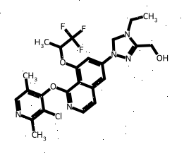 CCN1CN(c2cc(OC(C)C(F)(F)F)c3c(Oc4c(C)cnc(C)c4Cl)nccc3c2)N=C1CO